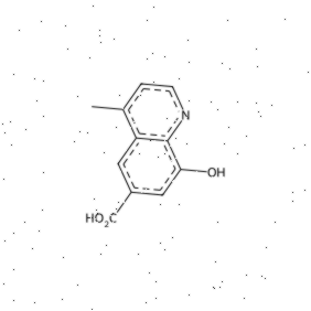 Cc1ccnc2c(O)cc(C(=O)O)cc12